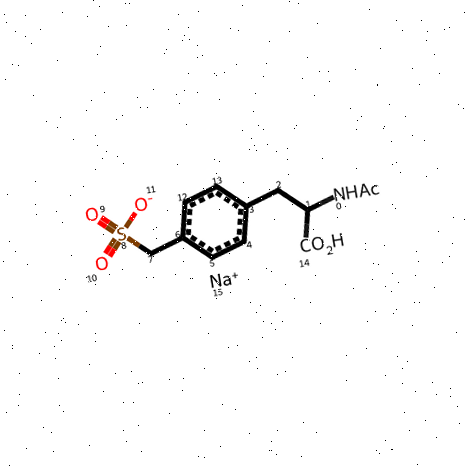 CC(=O)NC(Cc1ccc(CS(=O)(=O)[O-])cc1)C(=O)O.[Na+]